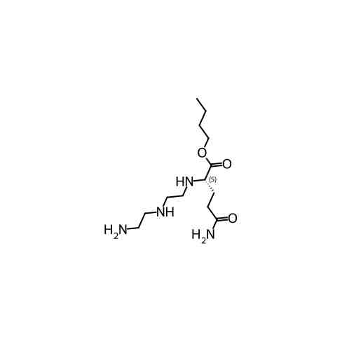 CCCCOC(=O)[C@H](CCC(N)=O)NCCNCCN